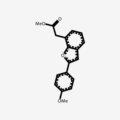 COC(=O)Cc1cccc2cc(-c3ccc(OC)cc3)oc12